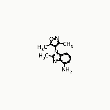 Cc1noc(C)c1-n1c(C)nc2c(N)cccc21